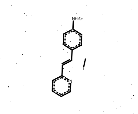 CC(=O)Nc1ccc(/C=C/c2ccccn2)cc1.CI